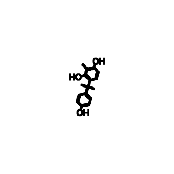 Cc1c(O)ccc(C(C)(C)c2ccc(O)cc2)c1O